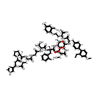 CCc1cc(OC)ccc1-c1ccc(C[C@H](NC(=O)[C@H](CC(=O)O)NC(=O)[C@H](CO)NC(=O)[C@@H](NC(=O)[C@](C)(Cc2ccccc2F)NC(=O)[C@@H](NC(=O)CNC(=O)[C@H](CCC(=O)O)NC(=O)[C@]2(C)CCCN2C(=O)CCc2c[nH]cn2)[C@@H](C)O)[C@@H](C)O)C(=O)N[C@@H](CCOc2ccc(Cl)cc2C)C(N)=O)cc1